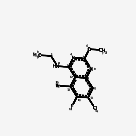 CCNc1nc(OC)nc2cc(Cl)c(F)c(Br)c12